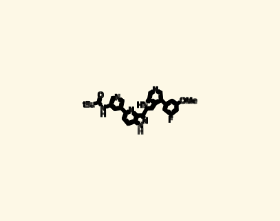 COc1cc(F)cc(-c2cncc3[nH]c(-c4n[nH]c5ccc(-c6cncc(NC(=O)C(C)(C)C)c6)nc45)cc23)c1